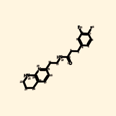 O=C(CCc1ccc(F)c(F)c1)NCCc1ccc2c(n1)NCCC2